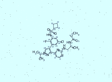 COC(=O)N[C@@H](C)CNc1nccc(-c2nn(C(C)C)cc2-c2cc(Cl)cc(NS(=O)(=O)C3CCC3)c2F)n1